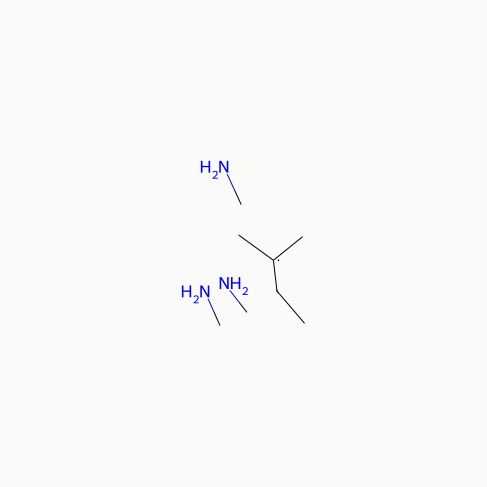 CC[C](C)C.CN.CN.CN